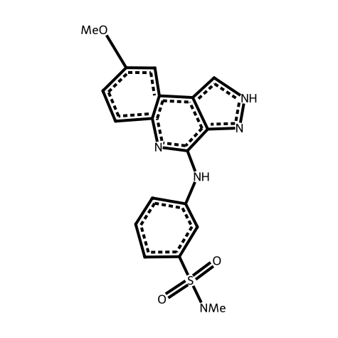 CNS(=O)(=O)c1cccc(Nc2nc3ccc(OC)cc3c3c[nH]nc23)c1